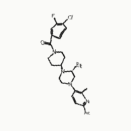 CC[C@H]1CN(c2ccc(C(C)=O)nc2C)CCN1C1CCN(C(=O)c2ccc(Cl)c(F)c2)CC1